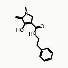 C=C1C(O)=C(C(=O)NCCc2ccccc2)CN1C